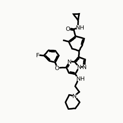 CC1=C(C(=O)NC2CC2)C=CC(c2cnn3c(NCCN4CCCCC4)cc(Oc4cccc(F)c4)nc23)C1